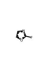 Fc1nc[c]o1